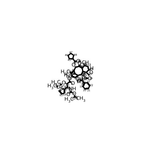 COC(C)(C)O[C@@H](C(=O)O[C@H]1C[C@@]2(O)[C@@H](OC(=O)c3ccccc3)[C@@H]3[C@]4(OC(C)=O)CO[C@@H]4C[C@H](C)[C@@]3(C)C(=O)[C@H](OC(=O)C3CCCC3)C(=C1C)C2(C)C)[C@@H](NC(=O)OC(C)C)c1cccs1